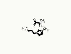 CCCCn1cc[n+](C)c1.C[C@H](O)C(=O)[O-]